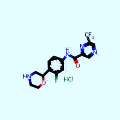 Cl.O=C(Nc1ccc(C2CNCCO2)c(F)c1)c1cncc(C(F)(F)F)n1